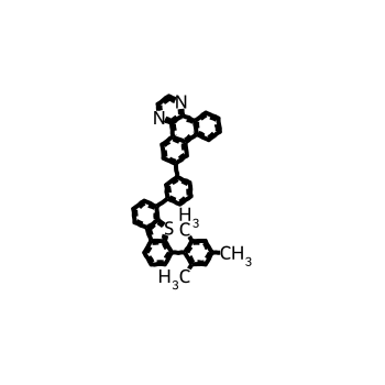 Cc1cc(C)c(-c2cccc3c2sc2c(-c4cccc(-c5ccc6c(c5)c5ccccc5c5nccnc65)c4)cccc23)c(C)c1